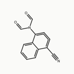 N#CC1=C=C=C(N(C=O)C=O)c2ccccc21